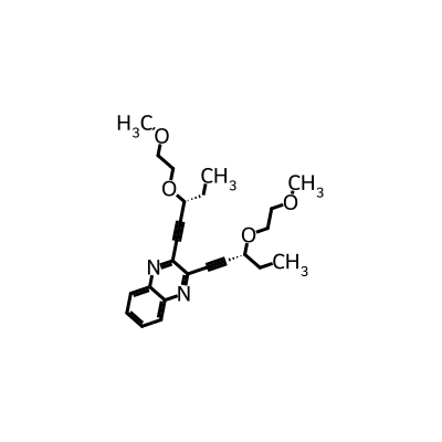 CC[C@H](C#Cc1nc2ccccc2nc1C#C[C@@H](CC)OCCOC)OCCOC